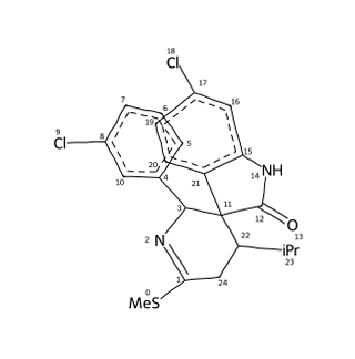 CSC1=NC(c2cccc(Cl)c2)C2(C(=O)Nc3cc(Cl)ccc32)C(C(C)C)C1